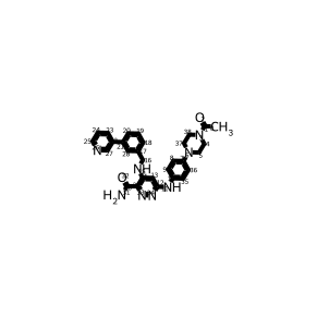 CC(=O)N1CCN(c2ccc(Nc3cc(NCc4cccc(-c5cccnc5)c4)c(C(N)=O)nn3)cc2)CC1